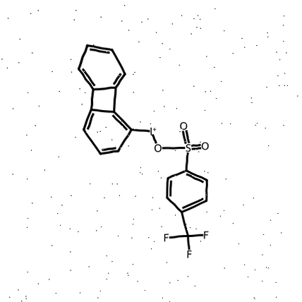 O=S(=O)(O[I+]c1cccc2c1-c1ccccc1-2)c1ccc(C(F)(F)F)cc1